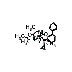 CCCP(=O)(N[C@@H](C)C(=O)OC(C)C)Oc1c(-c2ccccc2)cccc1[C@H](C)C1CC1